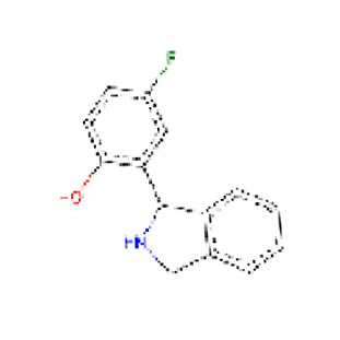 Oc1ccc(F)cc1C1NCc2ccccc21